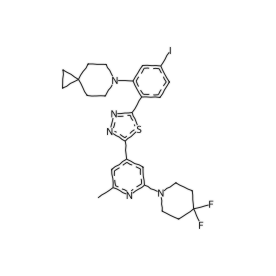 Cc1cc(-c2nnc(-c3ccc(I)cc3N3CCC4(CC3)CC4)s2)cc(N2CCC(F)(F)CC2)n1